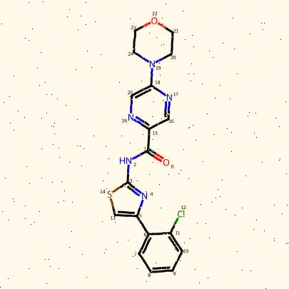 O=C(Nc1nc(-c2ccccc2Cl)cs1)c1cnc(N2CCOCC2)cn1